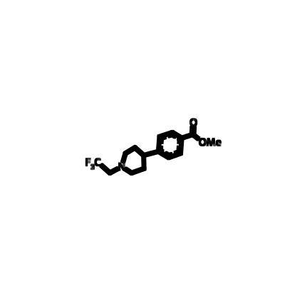 COC(=O)c1ccc(C2CCN(CC(F)(F)F)CC2)cc1